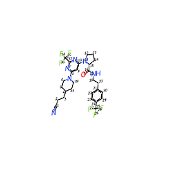 N#CCCC1CCN(c2cc(N3CCC[C@H]3C(=O)NCCc3ccc(C(F)(F)F)cc3)nc(C(F)(F)F)n2)CC1